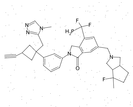 C#CC1CC(Cc2nncn2C)(c2cccc(N3Cc4c(cc(CN5CC6CCC(C)(F)C6C5)cc4C(F)(F)P)C3=O)c2)C1